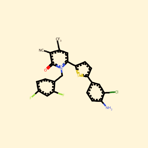 N#Cc1c(C(F)(F)F)cc(-c2ccc(-c3ccc(N)c(Cl)c3)s2)n(Cc2ccc(F)cc2F)c1=O